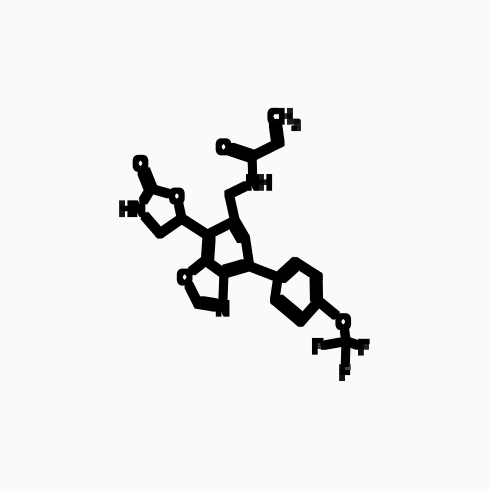 C=CC(=O)NCc1cc(-c2ccc(OC(F)(F)F)cc2)c2ncoc2c1C1CNC(=O)O1